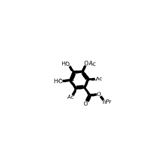 CCCOC(=O)c1c(C(C)=O)c(O)c(O)c(OC(C)=O)c1C(C)=O